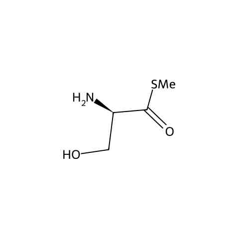 CSC(=O)[C@H](N)CO